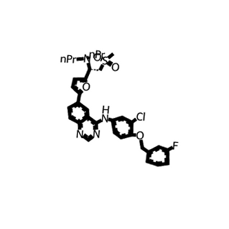 CCCN(CCC)[C@H](CS(C)(=O)=O)c1ccc(-c2ccc3ncnc(Nc4ccc(OCc5cccc(F)c5)c(Cl)c4)c3c2)o1